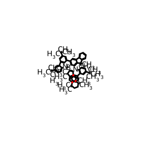 CC(C)(C)c1ccc(N2C3=C(B4c5c(cc6c(c52)C(C)(C)c2ccccc2-6)-c2cc(C(C)(C)C)cc5c6cc(C(C)(C)C)ccc6n4c25)C(C)(C)c2cc4c(cc23)C(C)(C)CCC4(C)C)c(-c2ccccc2)c1